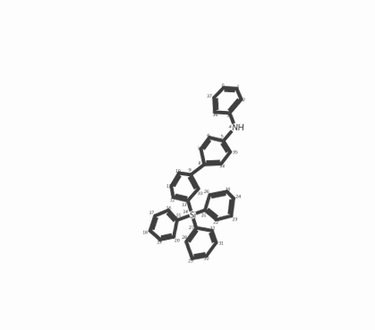 c1ccc(Nc2ccc(-c3cccc([Si](c4ccccc4)(c4ccccc4)c4ccccc4)c3)cc2)cc1